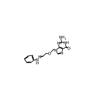 Nc1nc2c(ncn2COCC=NNc2ccccc2)c(=O)[nH]1